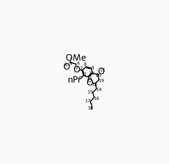 CCCc1c(OCC(=O)OC)ccc2c1OC(CCCCI)CC2=O